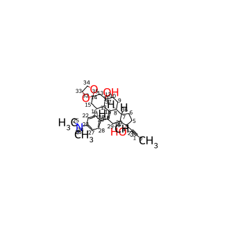 CC#C[C@]1(O)CC[C@H]2[C@@H]3CC[C@@]4(O)CC5(CC[C@@H]4C3=C(c3ccc(N(C)C)cc3)C[C@@]21C)OCCO5